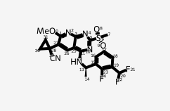 COc1nc2nc(S(C)(=O)=O)nc(N[C@H](C)c3cccc(C(F)F)c3F)c2cc1C1(C#N)CC1